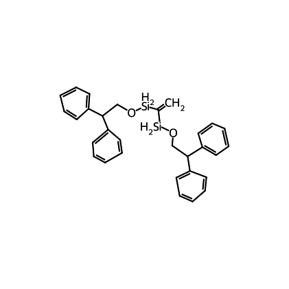 C=C([SiH2]OCC(c1ccccc1)c1ccccc1)[SiH2]OCC(c1ccccc1)c1ccccc1